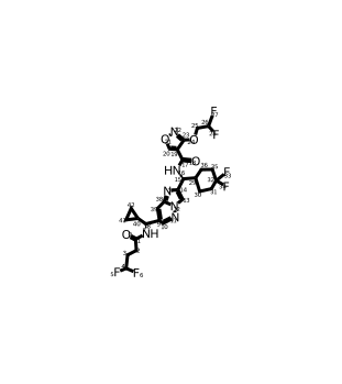 O=C(CCC(F)F)N[C@@H](c1cnn2cc([C@@H](NC(=O)c3conc3OCC(F)F)C3CCC(F)(F)CC3)nc2c1)C1CC1